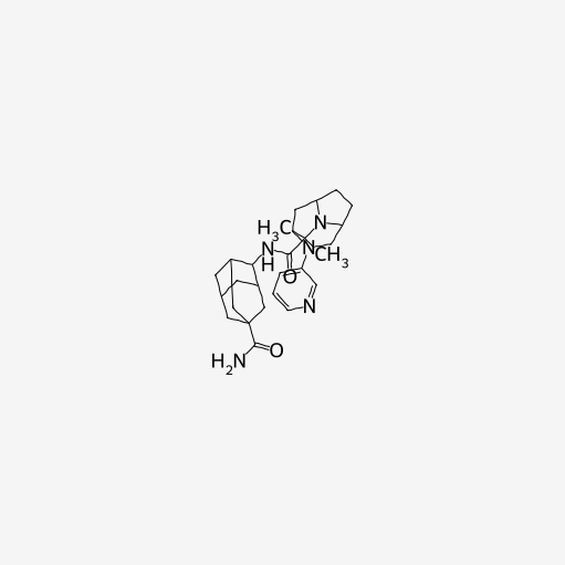 CC(C)(C(=O)NC1C2CC3CC1CC(C(N)=O)(C3)C2)N1C2CCC1CN(c1cccnc1)CC2